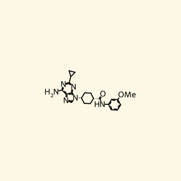 COc1cccc(NC(=O)[C@H]2CC[C@@H](n3cnc4c(N)nc(C5CC5)nc43)CC2)c1